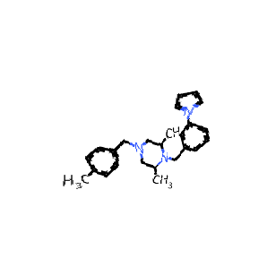 Cc1ccc(CN2CC(C)N(Cc3cccc(-n4cccc4)c3)C(C)C2)cc1